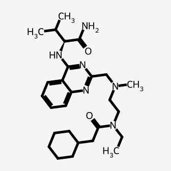 CCN(CCN(C)Cc1nc(N[C@H](C(N)=O)C(C)C)c2ccccc2n1)C(=O)CC1CCCCC1